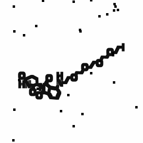 O=C1CCC(N2C(=O)c3cccc(NCCOCCOCCOCCOCCI)c3C2=O)C(=O)N1